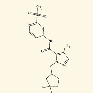 CS(=O)(=O)c1cc(NC(=O)c2c(C(F)(F)F)cnn2CC2CCC(F)(F)C2)ccn1